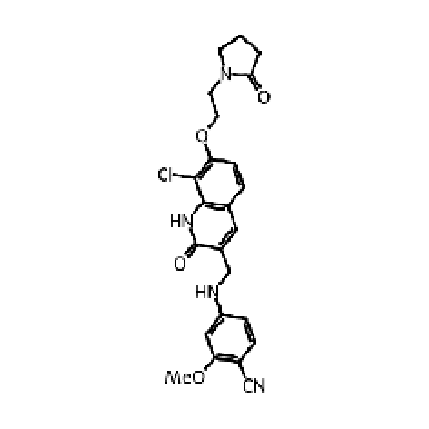 COc1cc(NCc2cc3ccc(OCCN4CCCC4=O)c(Cl)c3[nH]c2=O)ccc1C#N